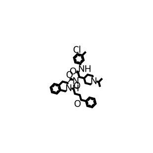 Cc1cc(NC(=O)[C@@H](NC(=O)[C@@H]2Cc3ccccc3CN2C(=O)CCC(=O)c2ccccc2)C2CCN(C(C)C)CC2)ccc1Cl